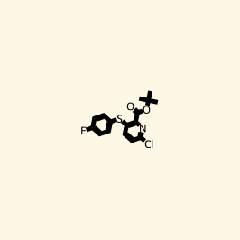 CC(C)(C)OC(=O)c1nc(Cl)ccc1Sc1ccc(F)cc1